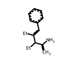 C=C(N)C(CC)/C(=C/c1ccccc1)CC